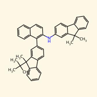 CC1(C)c2ccccc2-c2ccc(Nc3ccc4ccccc4c3-c3ccc4c(c3)C(C)(C(C)(C)C)c3ccccc3-4)cc21